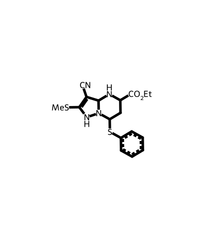 CCOC(=O)C1CC(Sc2ccccc2)N2NC(SC)=C(C#N)C2N1